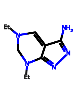 CCN1C=C2C(N)=NN=C2N(CC)C1